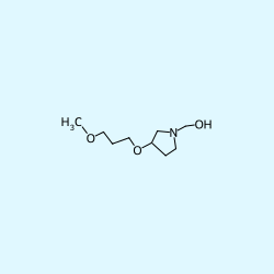 COCCCOC1CCN(CO)C1